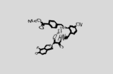 CCOC(C(=O)NCc1ccc(C#N)cc1NCc1ccc(C(=O)OC)cc1)N1C=C2C=CC(=O)C(F)=C2C1